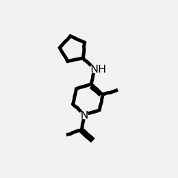 C=C(C)N1CCC(NC2CCCC2)=C(C)C1